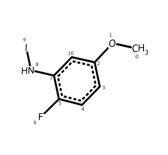 COc1ccc(F)c(NI)c1